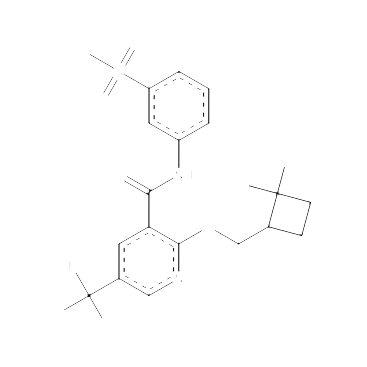 CS(=O)(=O)c1cccc(NC(=O)c2cc(C(F)(F)F)cnc2OCC2CCC2(F)F)c1